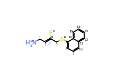 NC/C=C(\F)CSc1cccc2ccccc12